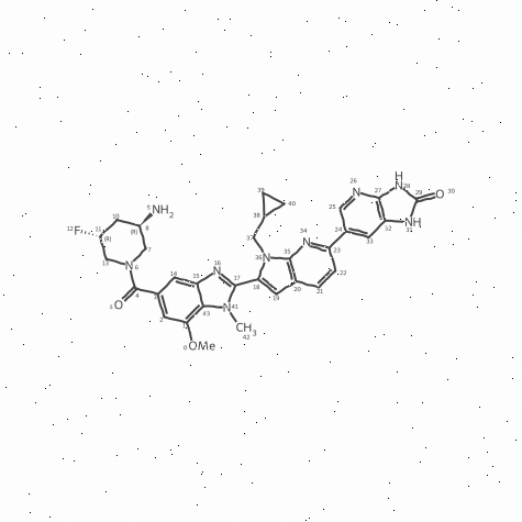 COc1cc(C(=O)N2C[C@H](N)C[C@@H](F)C2)cc2nc(-c3cc4ccc(-c5cnc6[nH]c(=O)[nH]c6c5)nc4n3CC3CC3)n(C)c12